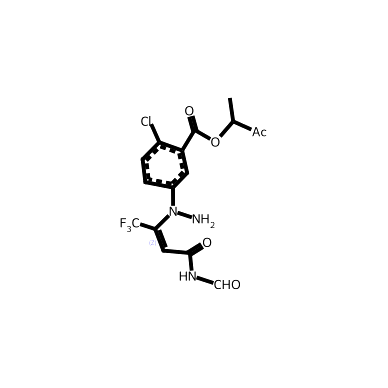 CC(=O)C(C)OC(=O)c1cc(N(N)/C(=C\C(=O)NC=O)C(F)(F)F)ccc1Cl